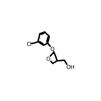 OCC1COC1Oc1cccc(Cl)c1